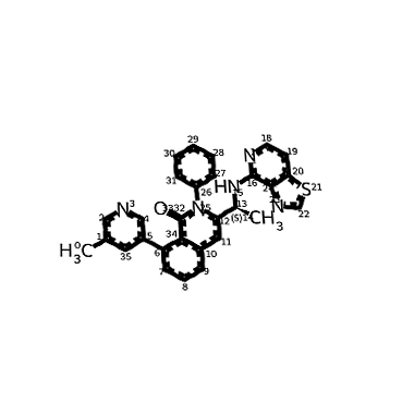 Cc1cncc(-c2cccc3cc([C@H](C)Nc4nccc5scnc45)n(-c4ccccc4)c(=O)c23)c1